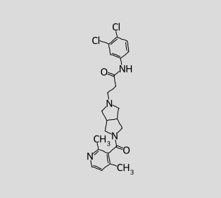 Cc1ccnc(C)c1C(=O)N1CC2CN(CCC(=O)Nc3ccc(Cl)c(Cl)c3)CC2C1